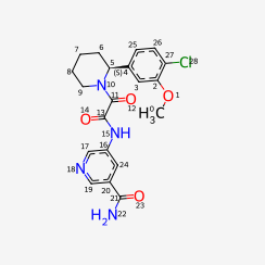 COc1cc([C@@H]2CCCCN2C(=O)C(=O)Nc2cncc(C(N)=O)c2)ccc1Cl